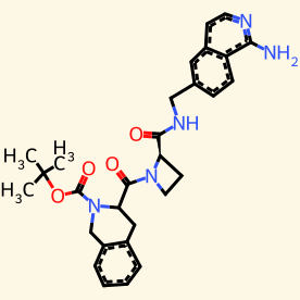 CC(C)(C)OC(=O)N1Cc2ccccc2CC1C(=O)N1CC[C@@H]1C(=O)NCc1ccc2c(N)nccc2c1